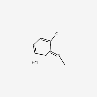 CN=C1CC=CC=C1Cl.Cl